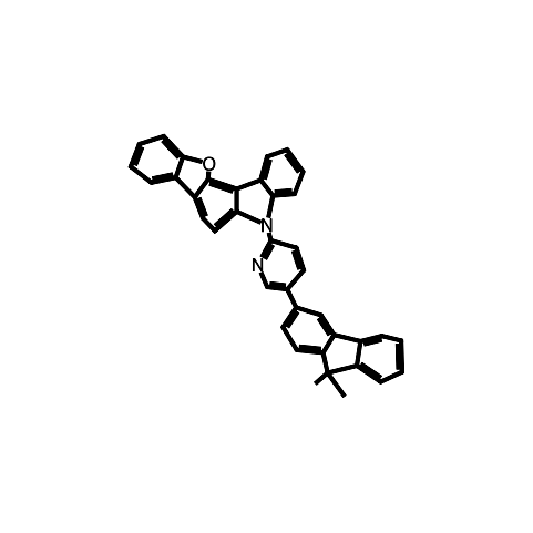 CC1(C)c2ccccc2-c2cc(-c3ccc(-n4c5ccccc5c5c6oc7ccccc7c6ccc54)nc3)ccc21